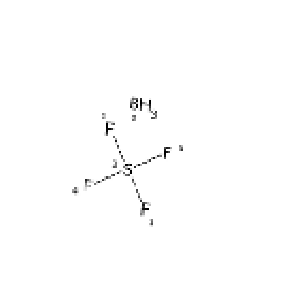 B.FS(F)(F)F